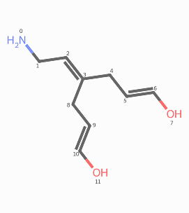 NCC=C(CC=CO)CC=CO